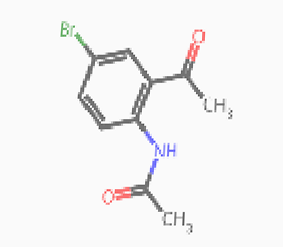 CC(=O)Nc1ccc(Br)cc1C(C)=O